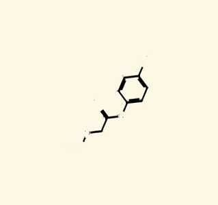 O=CNCC(=O)Nc1ccc(F)cc1